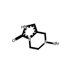 CC(C)(C)N1CCn2c(c[nH]c2=O)C1